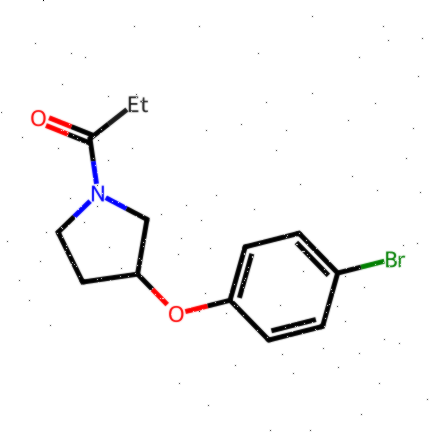 CCC(=O)N1CCC(Oc2ccc(Br)cc2)C1